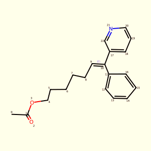 CC(=O)OCCCCC/C=C(\c1ccccc1)c1cccnc1